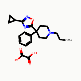 COCCN1CCC(c2ccccc2)(c2nc(C3CC3)no2)CC1.O=C(O)C(=O)O